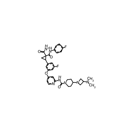 CN(C)C1CN(C2CCN(C(=O)Nc3cc(Oc4cc(F)cc(C5CC5(C(N)=O)C(=O)Nc5ccc(F)cc5)c4)ccn3)CC2)C1